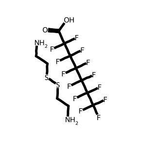 NCCSSCCN.O=C(O)C(F)(F)C(F)(F)C(F)(F)C(F)(F)C(F)(F)C(F)(F)F